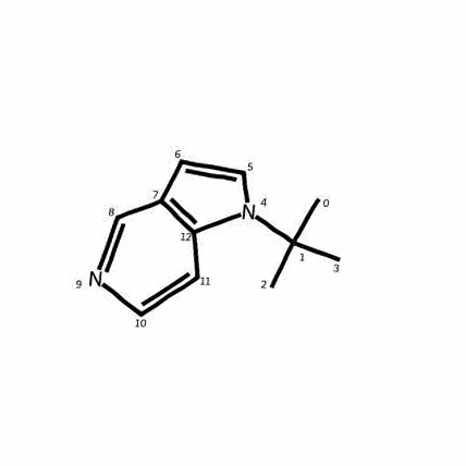 CC(C)(C)n1ccc2cnccc21